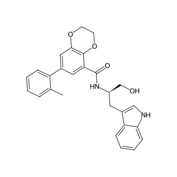 Cc1ccccc1-c1cc2c(c(C(=O)N[C@@H](CO)Cc3c[nH]c4ccccc34)c1)OCCO2